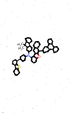 CC1(C)c2ccccc2-c2ccc(N(c3ccc(-c4cccc5c4sc4ccccc45)cc3)c3cccc4oc5c(-c6ccc7c8ccccc8c8ccccc8c7c6)c6ccccc6cc5c34)cc21